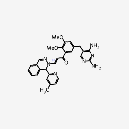 COc1cc(Cc2cnc(N)nc2N)cc(C(=O)/C=C/N2N=Cc3ccccc3C2c2cc(C)ccn2)c1OC